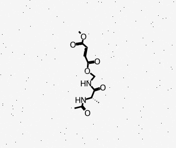 COC(=O)/C=C/C(=O)OCNC(=O)[C@H](C)NC(C)=O